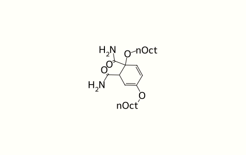 CCCCCCCCOC1=CC(C(N)=O)C(OCCCCCCCC)(C(N)=O)C=C1